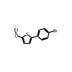 CCOc1ccc(-c2ccc(Br)cc2)s1